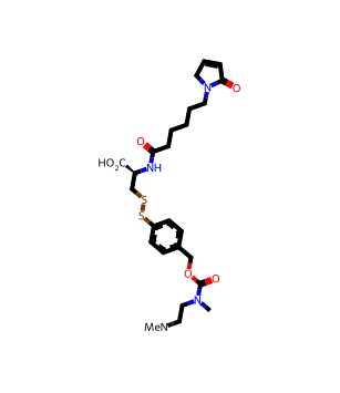 CNCCN(C)C(=O)OCc1ccc(SSC[C@H](NC(=O)CCCCCN2CC=CC2=O)C(=O)O)cc1